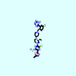 CC[C@H]1CN(c2nc(N)c(-c3nnc(C)o3)nc2Cl)CCN1C1CCN(Cc2ccc(Cl)cc2-c2nnn[nH]2)CC1